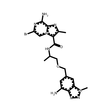 Cc1nc2c(N)nc(Br)cn2c1C(=O)NC(C)COCc1cc(N)c2nnn(C)c2c1